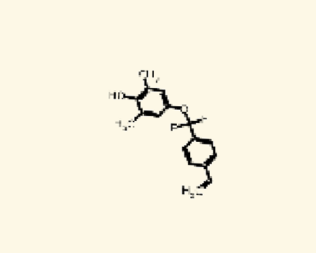 C=Cc1ccc(C(F)(F)Oc2cc(C)c(O)c(C)c2)cc1